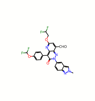 Cn1cc2cc(-n3nc4c(C=O)cc(OCC(F)F)nc4c(-c4ccc(OC(F)F)cc4)c3=O)ccc2n1